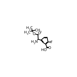 CC(C)(C)OC(=O)C(N)c1ccc(F)c(C(=O)O)c1